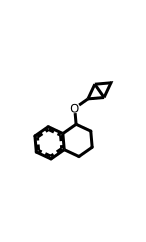 c1ccc2c(c1)CCCC2OC1C2CC21